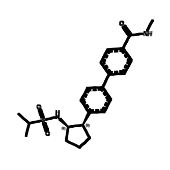 CNC(=O)c1ccc(-c2ccc([C@H]3CCC[C@H]3NS(=O)(=O)C(C)C)cc2)cc1